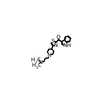 CN(C)CCCN1CCC(c2csc(C(=O)c3c[nH]c4ccccc34)n2)CC1